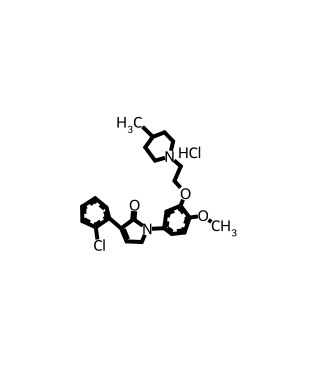 COc1ccc(N2CC=C(c3ccccc3Cl)C2=O)cc1OCCN1CCC(C)CC1.Cl